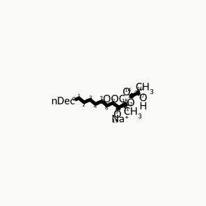 CCCCCCCCCCCCCCCCCC(=O)C(C)(OC(=O)C(C)O)C(=O)[O-].[Na+]